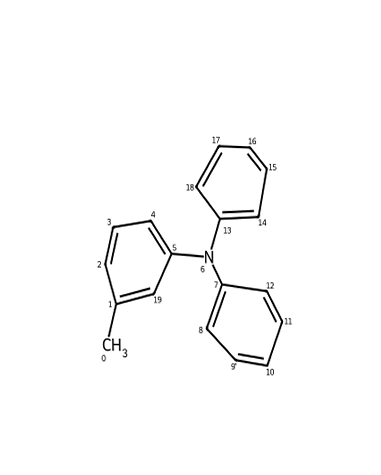 Cc1cccc(N(c2c[c]ccc2)c2ccccc2)c1